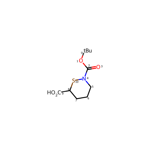 CC(C)(C)OC(=O)N1CCCC(C(=O)O)S1